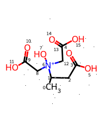 CC(CC(=O)O)[N+](O)(CC(=O)O)CC(=O)O